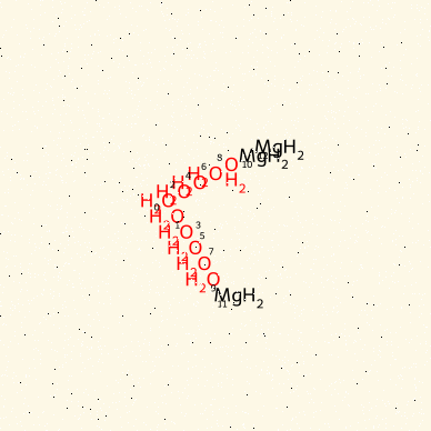 O.O.O.O.O.O.O.O.O.O.[MgH2].[MgH2].[MgH2]